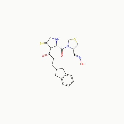 O=C(CCC1Cc2ccccc2C1)C1C(=S)CN[C@@H]1C(=O)N1CSC[C@H]1C=NO